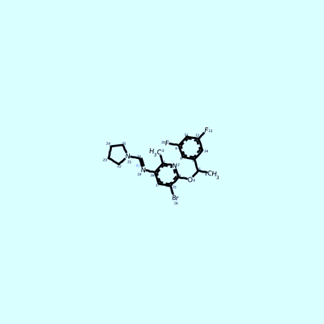 Cc1nc(OC(C)c2cc(F)cc(F)c2)c(Br)cc1/N=C/N1CCCC1